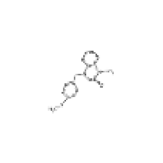 CSc1ccc(Cc2cc(=O)n(C)c3ccccc23)cc1